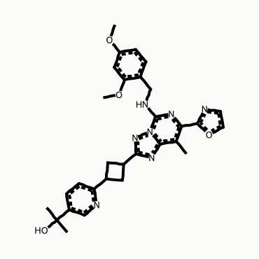 COc1ccc(CNc2nc(-c3ncco3)c(C)c3nc(C4CC(c5ccc(C(C)(C)O)cn5)C4)nn23)c(OC)c1